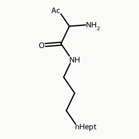 CCCCCCCCCCNC(=O)C(N)C(C)=O